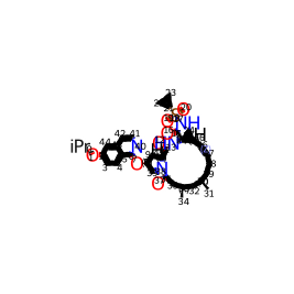 CC(C)Oc1ccc2c(O[C@@H]3C[C@H]4C(=O)N[C@]5(C(=O)NS(=O)(=O)C6CC6)C[C@H]5/C=C\CC[C@@H](C)C[C@@H](C)CC(=O)N4C3)nccc2c1